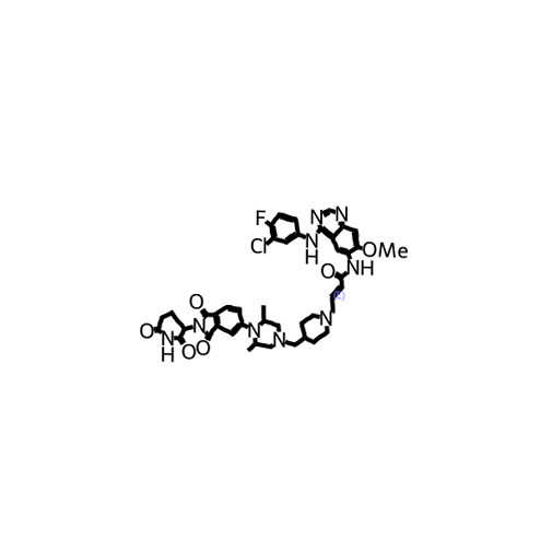 COc1cc2ncnc(Nc3ccc(F)c(Cl)c3)c2cc1NC(=O)/C=C/CN1CCC(CN2CC(C)N(c3ccc4c(c3)C(=O)N(C3CCC(=O)NC3=O)C4=O)C(C)C2)CC1